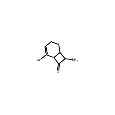 CC(=O)C1=CCSC2C(N)C(=O)N12